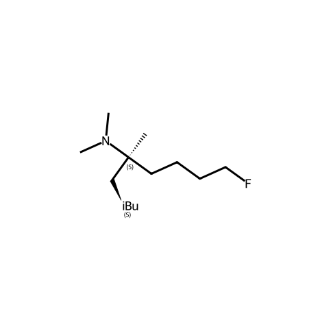 CC[C@H](C)C[C@](C)(CCCCF)N(C)C